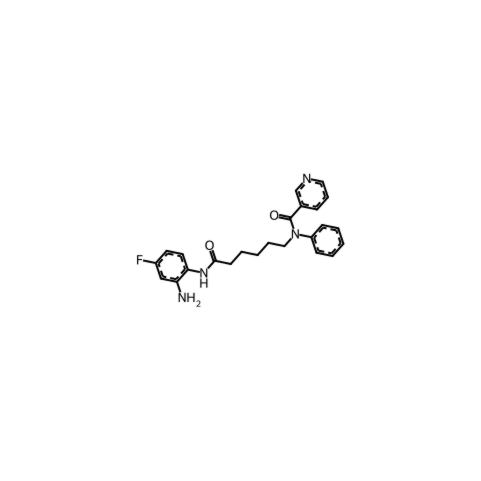 Nc1cc(F)ccc1NC(=O)CCCCCN(C(=O)c1cccnc1)c1ccccc1